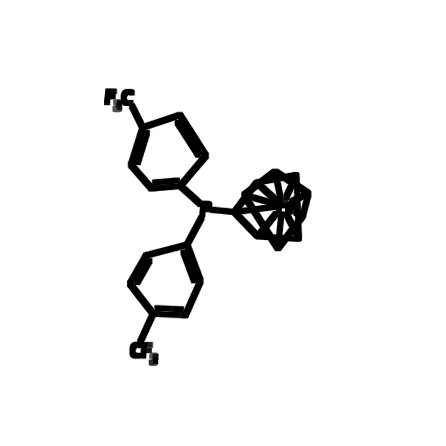 FC(F)(F)c1ccc(P(c2ccc(C(F)(F)F)cc2)[C]23[CH]4[CH]5[CH]6[CH]2[Fe]56432789[CH]3[CH]2[CH]7[CH]8[CH]39)cc1